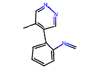 C=Nc1ccccc1-c1cnncc1C